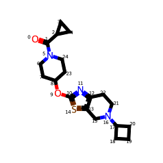 O=C(C1CC1)N1CCC(Oc2nc3c(s2)CN(C2CCC2)CC3)CC1